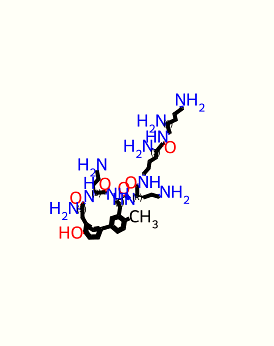 Cc1ccc2cc1C[C@@H](C(=O)N[C@H](CCCN)C(=O)NCCCC[C@H](N)C(=O)NC[C@@H](N)CCCN)NC(=O)[C@H](CCCN)NC(=O)[C@@H](N)Cc1cc-2ccc1O